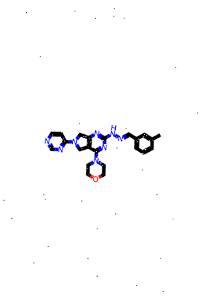 Cc1cccc(/C=N/Nc2nc3c(c(N4CCOCC4)n2)CN(c2ccncn2)C3)c1